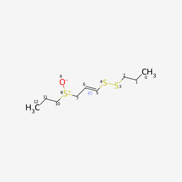 CCCSS/C=C/C[S+]([O-])CCC